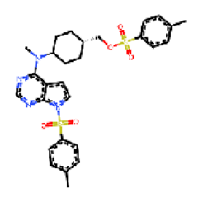 Cc1ccc(S(=O)(=O)OC[C@H]2CC[C@H](N(C)c3ncnc4c3ccn4S(=O)(=O)c3ccc(C)cc3)CC2)cc1